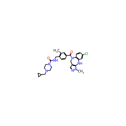 Cc1cc(C(=O)N2Cc3cnn(C)c3Nc3cc(Cl)ccc32)ccc1CNC(=O)N1CCN(CC2CC2)CC1